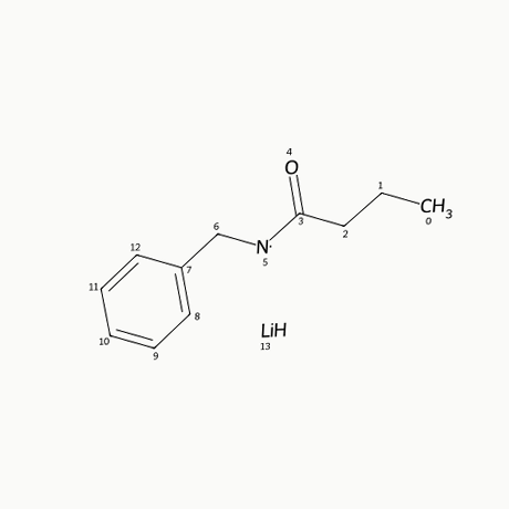 CCCC(=O)[N]Cc1ccccc1.[LiH]